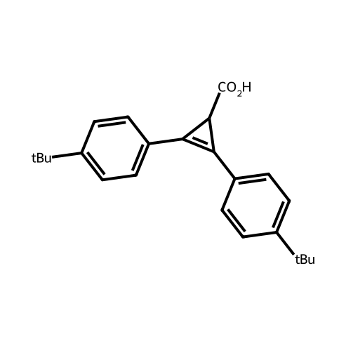 CC(C)(C)c1ccc(C2=C(c3ccc(C(C)(C)C)cc3)C2C(=O)O)cc1